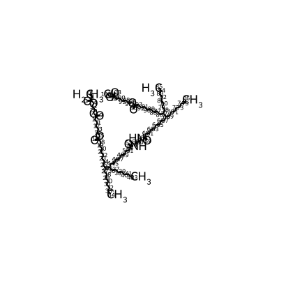 C=CC(=O)OCCOC(=O)CCCCCOC(=O)CCCCCCCCC(CCCCCCCC)C(CCCCCCCC)CCCCCCCCC(=O)NCCNC(=O)CCCCCCCCC(CCCCCCCC)C(CCCCCCCC)CCCCCCCCC(=O)OCCCCCC(=O)OC